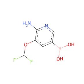 Nc1ncc(B(O)O)cc1OC(F)F